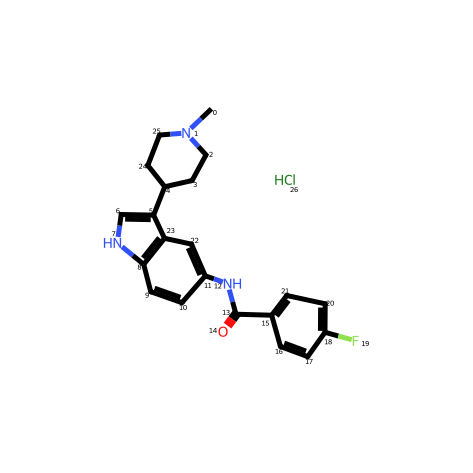 CN1CCC(c2c[nH]c3ccc(NC(=O)c4ccc(F)cc4)cc23)CC1.Cl